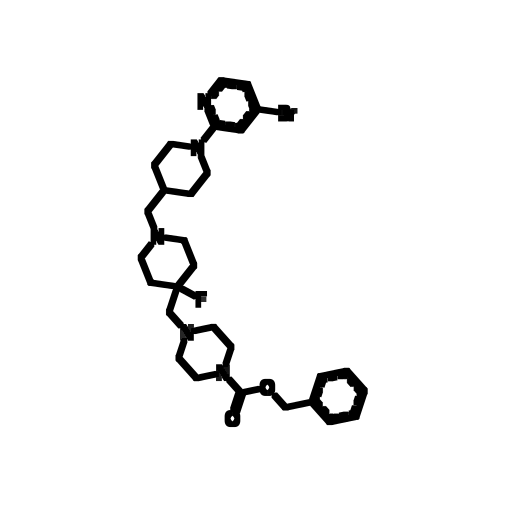 O=C(OCc1ccccc1)N1CCN(CC2(F)CCN(CC3CCN(c4cc(Br)ccn4)CC3)CC2)CC1